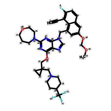 C#Cc1c(F)ccc2cc(OCOC)cc(Cn3cnc4c(OCC5(CN6CCC(C(F)(F)F)CC6)CC5)nc(N5CCCOCC5)nc43)c12